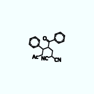 CC(=O)CC(c1ccccc1)C(CC(C#N)C#N)C(=O)c1ccccc1